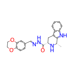 C[C@@H]1N[C@H](C(=O)N/N=C/c2ccc3c(c2)OCCO3)Cc2c1[nH]c1ccccc21